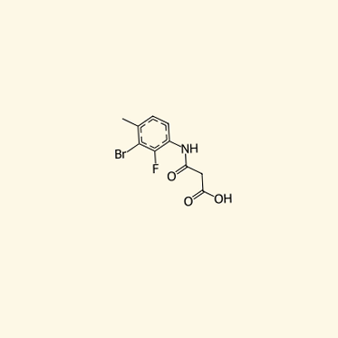 Cc1ccc(NC(=O)CC(=O)O)c(F)c1Br